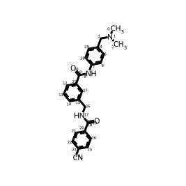 CN(C)Cc1ccc(NC(=O)c2cccc(CNC(=O)c3ccc(C#N)cc3)c2)cc1